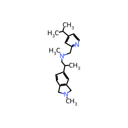 CC(C)c1ccnc(CN(C)CC(C)c2ccc3c(c2)CN(C)C3)c1